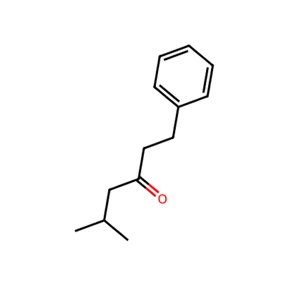 CC(C)CC(=O)CCc1ccccc1